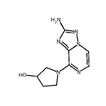 Nc1nc2c(N3CCC(O)C3)nccn2n1